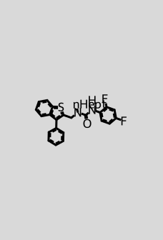 CCCCCCCN(Cc1sc2ccccc2c1-c1ccccc1)C(=O)Nc1ccc(F)cc1F